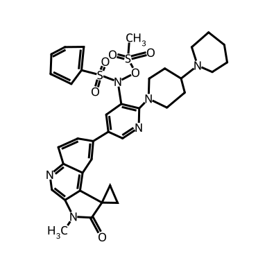 CN1C(=O)C2(CC2)c2c1cnc1ccc(-c3cnc(N4CCC(N5CCCCC5)CC4)c(N(OS(C)(=O)=O)S(=O)(=O)c4ccccc4)c3)cc21